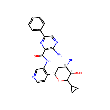 Nc1ncc(-c2ccccc2)nc1C(=O)Nc1cnccc1[C@@H]1C[C@H](N)[C@@H](O)C(C2CC2)O1